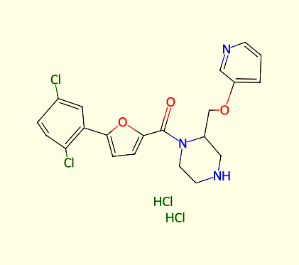 Cl.Cl.O=C(c1ccc(-c2cc(Cl)ccc2Cl)o1)N1CCNCC1COc1cccnc1